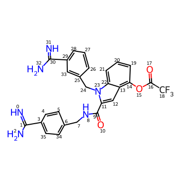 N=C(N)c1ccc(CNC(=O)c2cc3c(OC(=O)C(F)(F)F)cccc3n2Cc2cccc(C(=N)N)c2)cc1